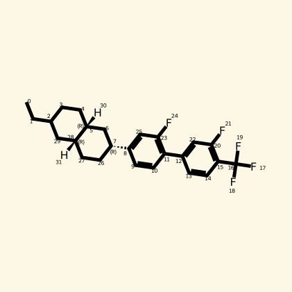 CCC1CC[C@@H]2C[C@H](c3ccc(-c4ccc(C(F)(F)F)c(F)c4)c(F)c3)CC[C@@H]2C1